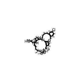 CO[C@@]1(CCO)/C=C/C[C@H](C)[C@@H](C)S(=O)(=O)N(C)C(=O)c2ccc3c(c2)N(CCCCc2cc(Cl)ccc2CO3)C[C@@H]2CC[C@H]21